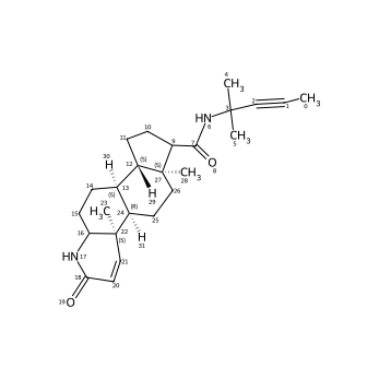 CC#CC(C)(C)NC(=O)C1CC[C@H]2[C@@H]3CCC4NC(=O)C=C[C@]4(C)[C@@H]3CC[C@]12C